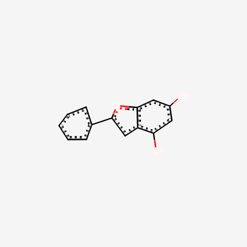 Oc1cc(O)c2cc(-c3ccccc3)oc2c1